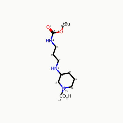 CC(C)(C)OC(=O)NCCCNC1CCCN(C(=O)O)C1